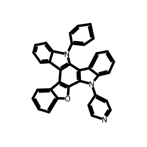 c1ccc(-n2c3ccccc3c3c4c5ccccc5oc4c4c(c5ccccc5n4-c4ccncc4)c32)cc1